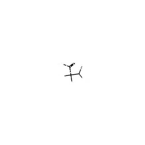 CCC(O)(C(N)=O)C(C)O